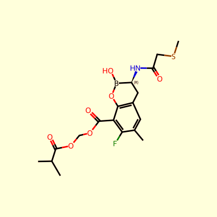 CSCC(=O)N[C@H]1Cc2cc(C)c(F)c(C(=O)OCOC(=O)C(C)C)c2OB1O